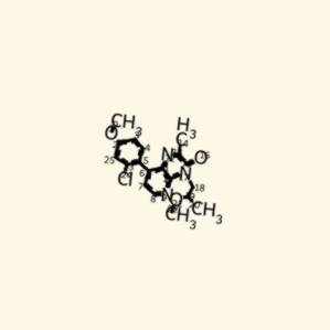 COc1ccc(-c2ccnc3c2nc(C)c(=O)n3CC(C)OC)c(Cl)c1